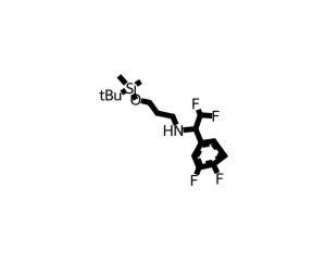 CC(C)(C)[Si](C)(C)OCCCNC(c1ccc(F)c(F)c1)C(F)F